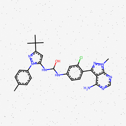 Cc1ccc(-n2nc(C(C)(C)C)cc2NC(O)Nc2ccc(-c3nn(C)c4ncnc(N)c34)c(Cl)c2)cc1